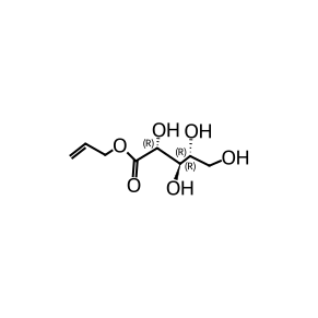 C=CCOC(=O)[C@H](O)[C@H](O)[C@H](O)CO